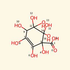 O=C(O)C1(O)C(O)=C(O)C(O)C(O)(O)C1(O)O